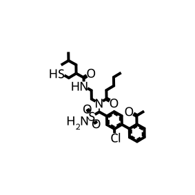 CCCCC(=O)N(CCNC(=O)C(CS)CC(C)C)[C@H](c1ccc(-c2ccccc2C(C)=O)c(Cl)c1)S(N)(=O)=O